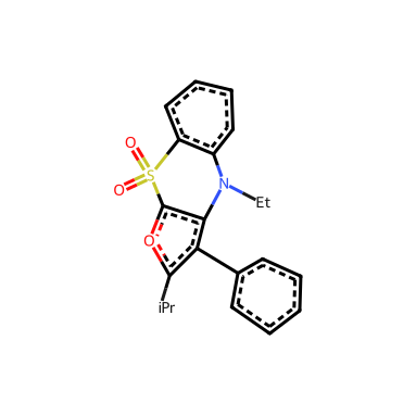 CCN1c2ccccc2S(=O)(=O)c2oc(C(C)C)c(-c3ccccc3)c21